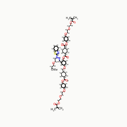 C=C(C)C(=O)OCCOCCOc1ccc(OC(=O)C2CCC(COc3ccc(OC(=O)C4CCC(C(=O)Oc5ccc(OCCOCCOC(=O)C(=C)C)cc5)CC4)c(/C=N/N(CCOCCOC)c4nc5ccccc5s4)c3)CC2)cc1